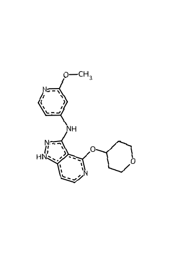 COc1cc(Nc2n[nH]c3ccnc(OC4CCOCC4)c23)ccn1